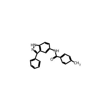 Cc1ccc(C(=O)Nc2ccc3[nH]nc(-c4ccccc4)c3c2)cc1